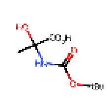 CC(C)(C)OC(=O)NC(C)(O)C(=O)O